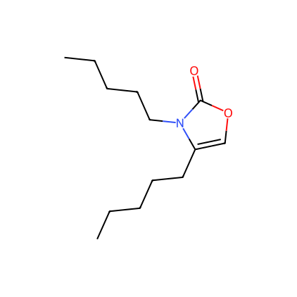 CCCCCc1coc(=O)n1CCCCC